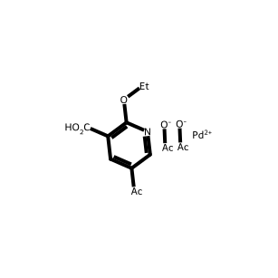 CC(=O)[O-].CC(=O)[O-].CCOc1ncc(C(C)=O)cc1C(=O)O.[Pd+2]